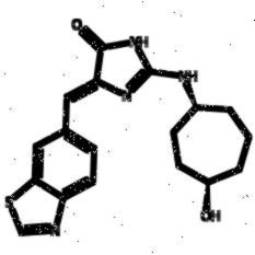 O=C1NC(N[C@H]2CCC[C@@H](O)CC2)=N/C1=C\c1ccc2ncsc2c1